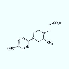 CC1CN(c2cnc(C=O)cn2)CCN1CCC(=O)O